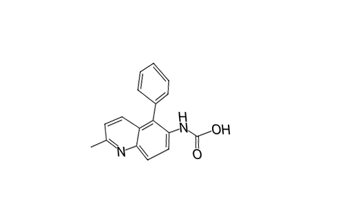 Cc1ccc2c(-c3ccccc3)c(NC(=O)O)ccc2n1